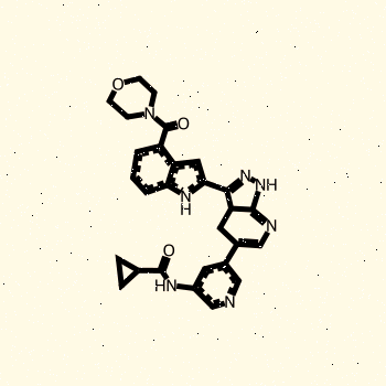 O=C(Nc1cncc(C2=CN=C3NN=C(c4cc5c(C(=O)N6CCOCC6)cccc5[nH]4)C3C2)c1)C1CC1